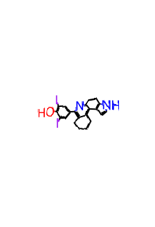 Oc1c(I)cc(-c2nc3ccc4[nH]ccc4c3c3c2CCCC3)cc1I